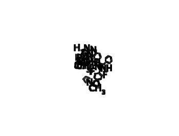 CC(Oc1cc(F)c(-c2nc(-c3ccc4nc(N)n(S(=O)(=O)C(C)C)c4c3)c(-c3ccccc3)[nH]2)c(F)c1)N1CCCC1.CS(=O)(=O)O.CS(=O)(=O)O